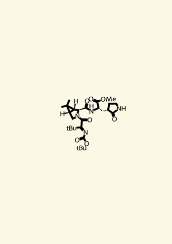 COC(=O)[C@H](C[C@@H]1CCNC1=O)NC(=O)[C@@H]1[C@@H]2[C@H](CN1C(=O)/C(=N/C(=O)OC(C)(C)C)C(C)(C)C)C2(C)C